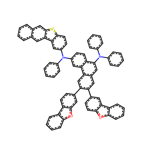 c1ccc(N(c2ccc3sc4cc5ccccc5cc4c3c2)c2ccc3c(N(c4ccccc4)c4ccccc4)cc4cc(-c5ccc6oc7ccccc7c6c5)c(-c5ccc6c(c5)oc5ccccc56)cc4c3c2)cc1